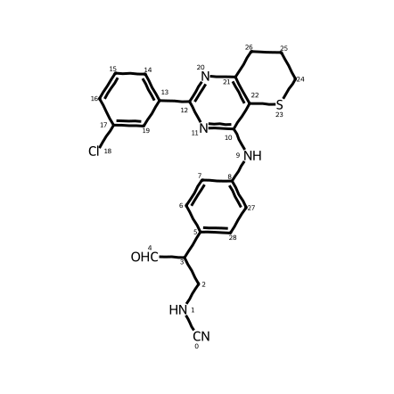 N#CNCC(C=O)c1ccc(Nc2nc(-c3cccc(Cl)c3)nc3c2SCCC3)cc1